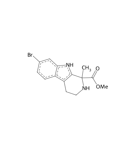 COC(=O)C1(C)NCCc2c1[nH]c1cc(Br)ccc21